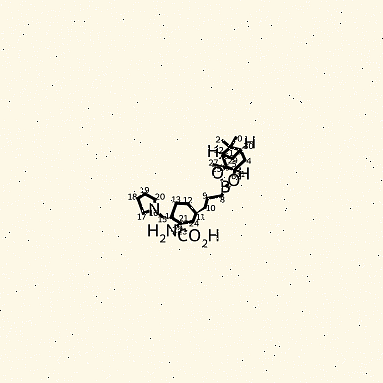 CC1(C)[C@H]2C[C@@H]3OB(CCC[C@@H]4CC[C@@H](CN5CCCC5)[C@@](N)(C(=O)O)C4)O[C@]3(C)[C@@H]1C2